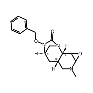 CN1C[C@@H]2C[C@@H]3CN(C(=O)N3OCc3ccccc3)[C@@H]2C2OC21